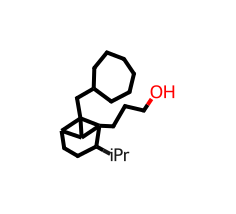 CC(C)C1CCC2C3C1(CCCO)C23CC1CCCCCC1